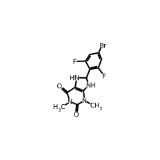 Cn1c2c(c(=O)n(C)c1=O)NC(c1c(F)cc(Br)cc1F)N2